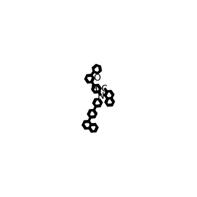 Cc1ccc2ccccc2c1N(c1ccc(-c2ccc(-c3cccc4ccccc34)cc2)cc1)c1ccc(-c2cccc3c2OC2C=CC=CC32)cc1